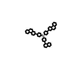 c1ccc2c(-c3ccc(N(c4ccc(-c5ccc6c(ccc7ccccc76)c5)cc4)c4ccc(-c5ccc6c(ccc7ccccc76)c5)cc4)cc3)cccc2c1